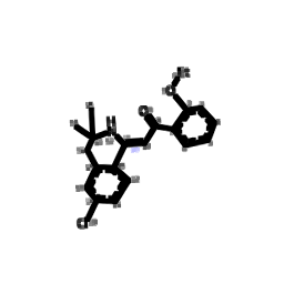 CCOc1ccccc1C(=O)/C=C1\NC(C)(C)Cc2cc(Cl)ccc21